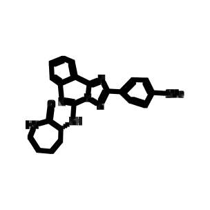 CSc1ccc(-c2nc3c4ccccc4nc(N[C@@H]4CCCCNC4=O)n3n2)cc1